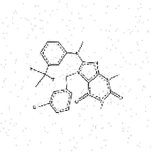 CN(c1cccc(C(C)(F)F)c1)c1nc2c(c(=O)n(C)c(=O)n2C)n1Cc1cccc(Br)c1